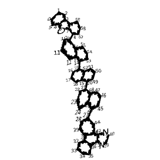 c1ccc2c(c1)oc1c(-c3cccc4c(-c5cccc6c(-c7cccc8c(-c9ccc%10c%11ccccc%11c%11nccnc%11c%10c9)cccc78)cccc56)cccc34)cccc12